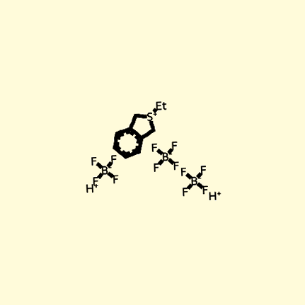 CC[S+]1Cc2ccccc2C1.F[B-](F)(F)F.F[B-](F)(F)F.F[B-](F)(F)F.[H+].[H+]